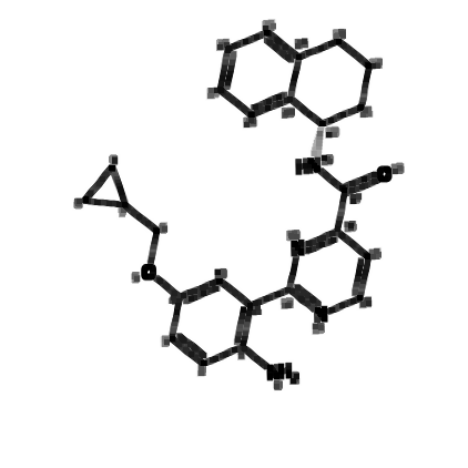 Nc1ccc(OCC2CC2)cc1-c1nccc(C(=O)N[C@H]2CCCc3ccccc32)n1